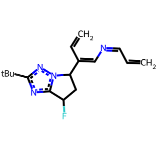 C=C/C=N\C=C(/C=C)C1CC(F)c2nc(C(C)(C)C)nn21